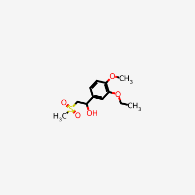 CCOc1cc(C(O)CS(C)(=O)=O)ccc1OC